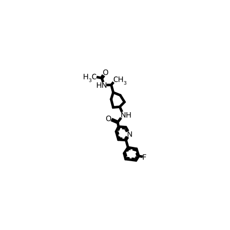 CC(=O)NC(C)C1CCC(NC(=O)c2ccc(-c3cccc(F)c3)nc2)CC1